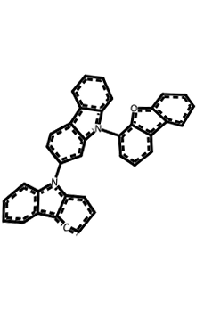 c1ccc2c(c1)oc1c(-n3c4ccccc4c4ccc(-n5c6ccccc6c6ccccc65)cc43)cccc12